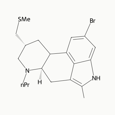 CCCN1C[C@H](CSC)CC2c3cc(Br)cc4[nH]c(C)c(c34)C[C@H]21